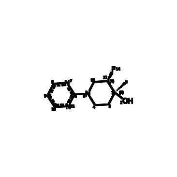 C[C@]1(O)CCN(c2ncccn2)C[C@H]1F